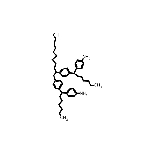 CCCCCCCCCC(Cc1ccc(C(CCCCCC)c2ccc(N)cc2)cc1)c1ccc(C(CCCCCC)c2ccc(N)cc2)cc1